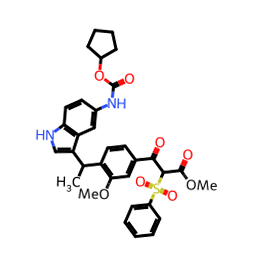 COC(=O)C(C(=O)c1ccc(C(C)c2c[nH]c3ccc(NC(=O)OC4CCCC4)cc23)c(OC)c1)S(=O)(=O)c1ccccc1